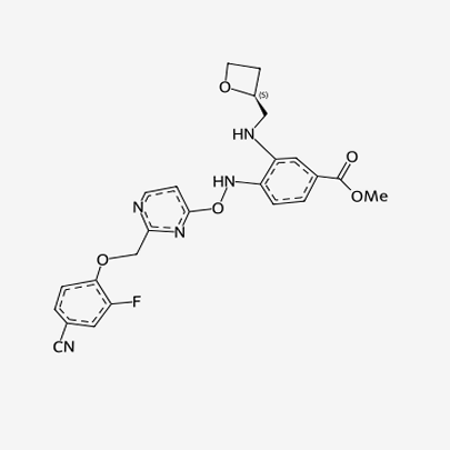 COC(=O)c1ccc(NOc2ccnc(COc3ccc(C#N)cc3F)n2)c(NC[C@@H]2CCO2)c1